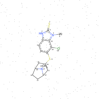 CC(C)n1c(=S)[nH]c2ccc(SC3CC4CCC(C3)N4C)c(Cl)c21